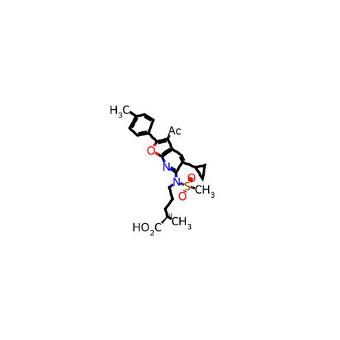 CC(=O)c1c(-c2ccc(C)cc2)oc2nc(N(CCC[C@@H](C)C(=O)O)S(C)(=O)=O)c(C3CC3)cc12